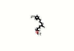 CCOC(C)(C)CCCC(C)CCCc1ccc(C(C)C)cc1